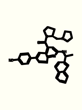 CC(Nc1cc(C(=O)N2CCC[C@H]2CN2CCCC2)c2cc(-c3ccc(C#N)cc3)ccc2n1)c1ccc2ccccc2c1